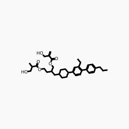 C=C(CO)C(=O)OCC(CCOC(=O)C(C)CO)CC1CCC(c2ccc(-c3ccc(CCC)cc3)c(CC)c2)CC1